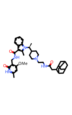 COc1cc(C)[nH]c(=O)c1CNC(=O)c1c(C)n([C@@H](C)C2CCN(CCNC(=O)CC3C4CC5CC(C4)CC3C5)CC2)c2ccccc12